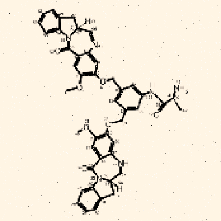 COc1cc2c(cc1OCc1cc(COc3cc4c(cc3OC)C(=O)N3c5ccccc5C[C@H]3CN4)cc(NC(=O)[C@H](C)N)c1)N=C[C@@H]1Cc3ccccc3N1C2=O